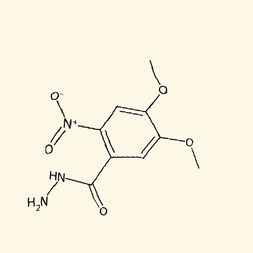 COc1cc(C(=O)NN)c([N+](=O)[O-])cc1OC